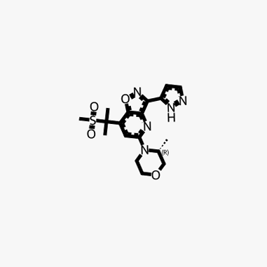 C[C@@H]1COCCN1c1cc(C(C)(C)S(C)(=O)=O)c2onc(-c3ccn[nH]3)c2n1